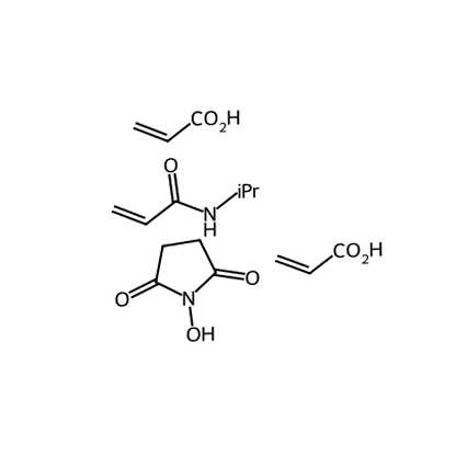 C=CC(=O)NC(C)C.C=CC(=O)O.C=CC(=O)O.O=C1CCC(=O)N1O